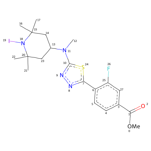 COC(=O)c1ccc(-c2nnc(N(C)C3CC(C)(C)N(I)C(C)(C)C3)s2)c(F)c1